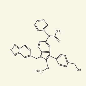 NC(=O)N(c1ccccc1)c1ccc2c(c1)c(-c1ccc(CO)cc1)c(OC(=O)O)n2Cc1ccc2nsnc2c1